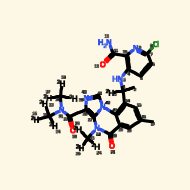 [2H]C(C)(Nc1ccc(Cl)nc1C(N)=O)c1cc(C)cc2c(=O)n(C([2H])([2H])[2H])c3c(C(=O)N(C([2H])([2H])[2H])C([2H])([2H])[2H])ncn3c12